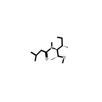 CC[C@H](C)[C@@H]([C@@H](C)OC)N(C)C(=O)CC(C)C